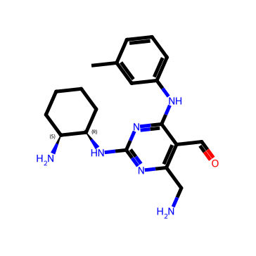 Cc1cccc(Nc2nc(N[C@@H]3CCCC[C@@H]3N)nc(CN)c2C=O)c1